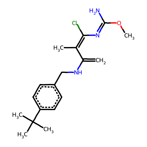 C=C(NCc1ccc(C(C)(C)C)cc1)/C(C)=C(Cl)\N=C(/N)OC